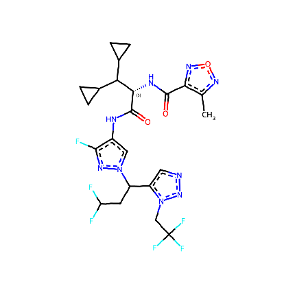 Cc1nonc1C(=O)N[C@H](C(=O)Nc1cn(C(CC(F)F)c2cnnn2CC(F)(F)F)nc1F)C(C1CC1)C1CC1